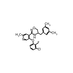 Cc1cc(C)cc(CC2CON=C(c3cc(C)ncc3Oc3cccc(Cl)c3F)N2)c1